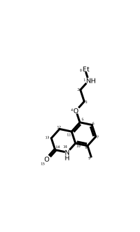 CCNCCOc1ccc(C)c2c1CCC(=O)N2